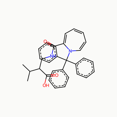 CC(C)C(CNC(=O)C1=CC=CC=CN1C(c1ccccc1)(c1ccccc1)c1ccccc1)C(=O)O